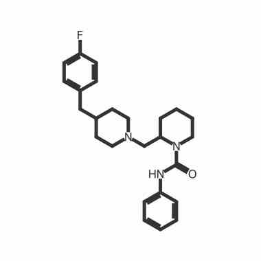 O=C(Nc1ccccc1)N1CCCCC1CN1CCC(Cc2ccc(F)cc2)CC1